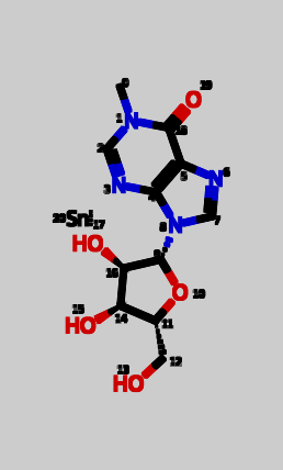 Cn1cnc2c(ncn2[C@@H]2O[C@H](CO)[C@@H](O)[C@H]2O)c1=O.[Sn]